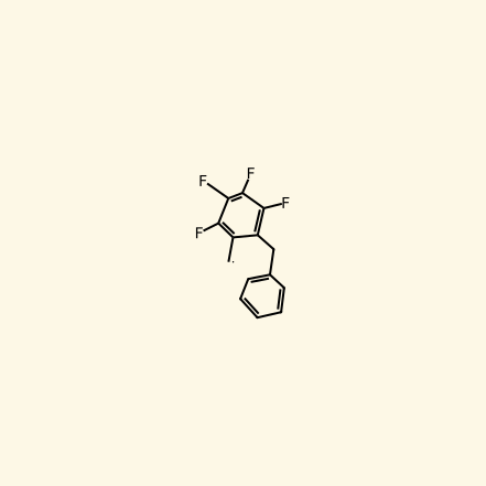 [CH2]c1c(F)c(F)c(F)c(F)c1Cc1ccccc1